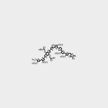 CCCCCCCCc1cc(-c2sc(-c3cc4c(OCC(CC)CCCC)c5sc(-c6cc(CCCCCCCC)c(-c7cc(CCCCCCCC)c(-c8ccc(-c9sc(-c%10sc(/C=C%11/SC(=S)N(CC)C%11=O)cc%10CCCCCCCC)cc9CCCCCCCC)s8)s7)s6)cc5c(OCC(CC)CCC)c4s3)cc2CCCCCCCC)sc1C